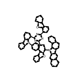 c1ccc(-n2c3ccccc3c3cccc(-c4nc(-c5cc(-n6c7cc8ccccc8cc7c7ccc8ccccc8c76)c6oc7ccccc7c6c5)nc(-c5cccc6c5oc5ccccc56)n4)c32)cc1